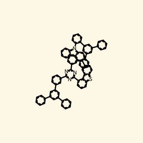 c1ccc(-c2cc(-c3ccccc3)cc(-c3cccc(-c4nc(-c5ccccc5)nc(-c5cccc6sc7ccc(-c8ccc9c(c8)c8ccccc8n9-c8ccccc8-c8cc(-c9ccccc9)cc(-c9ccccc9)c8)cc7c56)n4)c3)c2)cc1